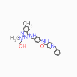 Cc1ccc2c(NCc3ccc(NC(=O)C4CCN(Cc5ccccc5)CC4)cc3)nc(N(C)CCO)nc2c1